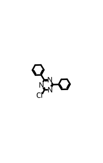 Clc1nc(C2=CCCC=C2)nc(C2=CC=CCC2)n1